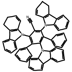 N#Cc1c(-n2c3c(c4ccccc42)CCC=C3)c(-c2ccccc2)c(-n2c3ccccc3c3ccccc32)c(-c2ccccc2)c1-n1c2c(c3ccccc31)CCC=C2